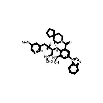 CNc1cncc(CC(C)(C)C(CNC=O)Nc2c(NO)cc(-n3nnc4ccccc43)cc2C(=O)N2CCC3(CCCC3)CC2)c1